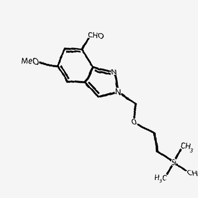 COc1cc(C=O)c2nn(COCC[Si](C)(C)C)cc2c1